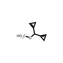 O=C(O)OC(C1=CC1)C1=CC1